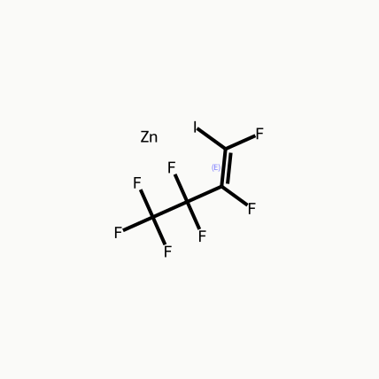 F/C(I)=C(\F)C(F)(F)C(F)(F)F.[Zn]